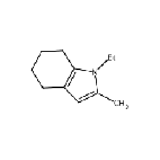 CCn1c(C)cc2c1CCCC2